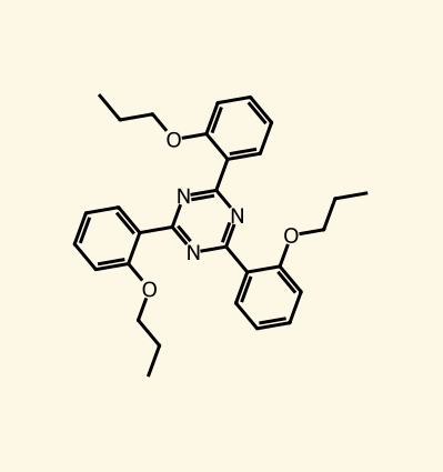 CCCOc1ccccc1-c1nc(-c2ccccc2OCCC)nc(-c2ccccc2OCCC)n1